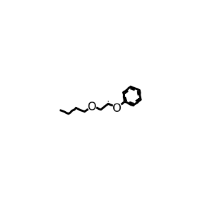 CCCCOC[CH]Oc1ccccc1